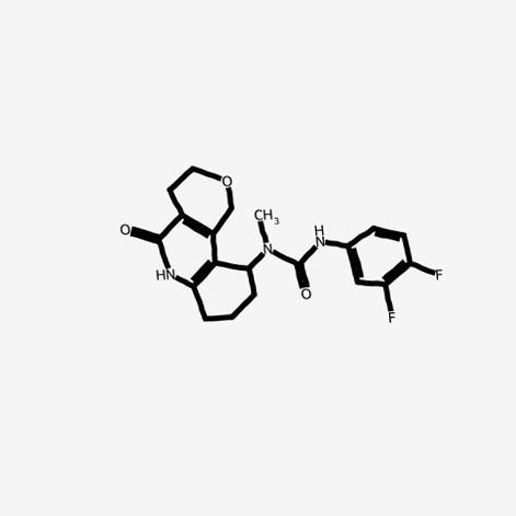 CN(C(=O)Nc1ccc(F)c(F)c1)C1CCCc2[nH]c(=O)c3c(c21)COCC3